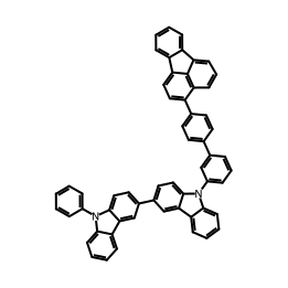 c1ccc(-n2c3ccccc3c3cc(-c4ccc5c(c4)c4ccccc4n5-c4cccc(-c5ccc(-c6ccc7c8c(cccc68)-c6ccccc6-7)cc5)c4)ccc32)cc1